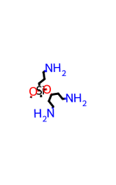 CO[Si](C)(CCCN)OC(CCN)CCN